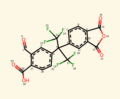 O=Cc1cc(C(c2ccc3c(c2)C(=O)OC3=O)(C(F)(F)F)C(F)(F)F)ccc1C(=O)O